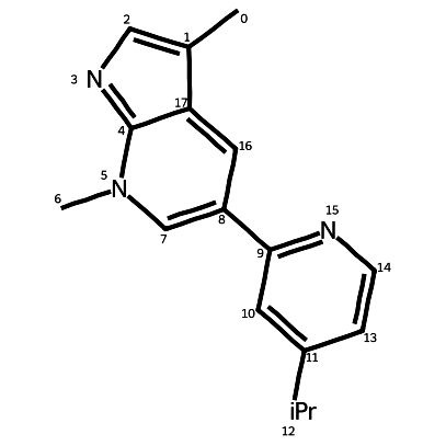 Cc1cnc2n(C)cc(-c3cc(C(C)C)ccn3)cc1-2